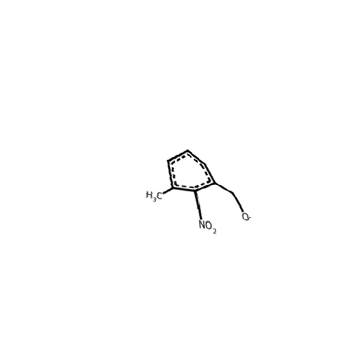 Cc1cccc(C[O])c1[N+](=O)[O-]